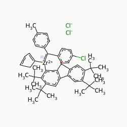 Cc1ccc(/[C](c2ccc(Cl)cc2)=[Zr+2](\[C]2=CC=CC2)[c]2c3c(cc(C(C)(C)C)c2C(C)(C)C)-c2cc(C(C)(C)C)c(C(C)(C)C)cc2C3)cc1.[Cl-].[Cl-]